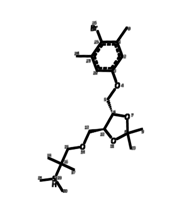 Cc1cc(OC[C@@H]2OC(C)(C)O[C@H]2COCC(C)(C)[SiH](C)C)cc(C)c1Br